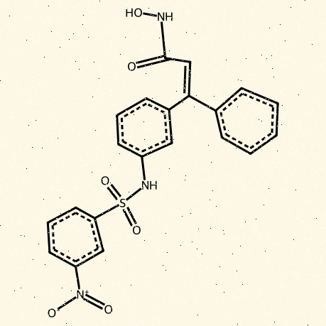 O=C(/C=C(/c1ccccc1)c1cccc(NS(=O)(=O)c2cccc([N+](=O)[O-])c2)c1)NO